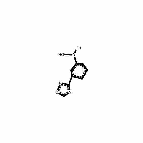 OB(O)c1cccc(-c2ncon2)c1